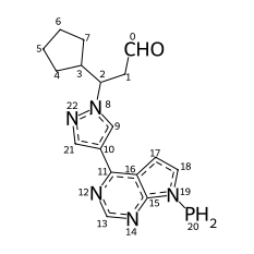 O=CCC(C1CCCC1)n1cc(-c2ncnc3c2ccn3P)cn1